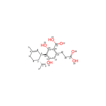 C=C(C)[C@@H]1CCC(C)=C[C@H]1c1c(O)cc(CCC(=O)O)c(C(=O)O)c1O